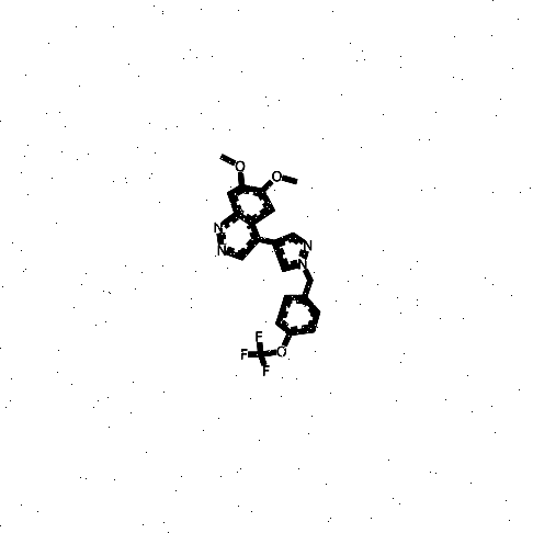 COc1cc2nncc(-c3cnn(Cc4ccc(OC(F)(F)F)cc4)c3)c2cc1OC